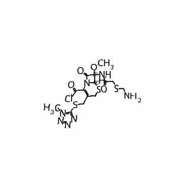 CO[C@@]1(NC(=O)CSCN)C(=O)N2C(C(=O)Cl)=C(CSc3nnnn3C)CS[C@@H]21